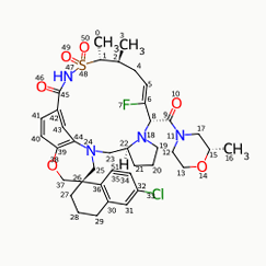 C[C@@H]1[C@@H](C)C/C=C(\F)[C@H](C(=O)N2CCO[C@@H](C)C2)N2CCC[C@H]2CN2C[C@@]3(CCCc4cc(Cl)ccc43)COc3ccc(cc32)C(=O)NS1(=O)=O